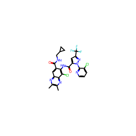 Cc1nc2cc(C(=O)NCC3CC3)c(NC(=O)c3cc(C(F)(F)F)nn3-c3ncccc3Cl)c(Cl)c2nc1C